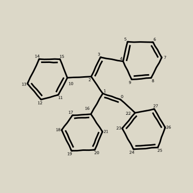 C(=C(C(=Cc1ccccc1)c1ccccc1)c1ccccc1)c1ccccc1